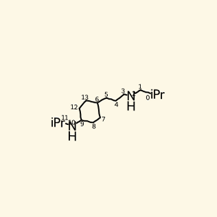 CC(C)CNCCCC1CCC(NC(C)C)CC1